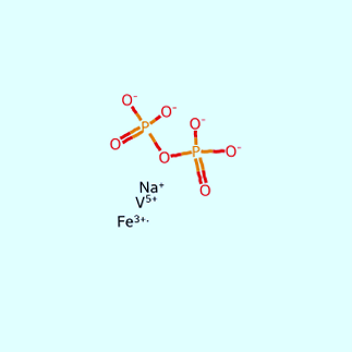 O=P([O-])([O-])OP(=O)([O-])[O-].[Fe+3].[Na+].[V+5]